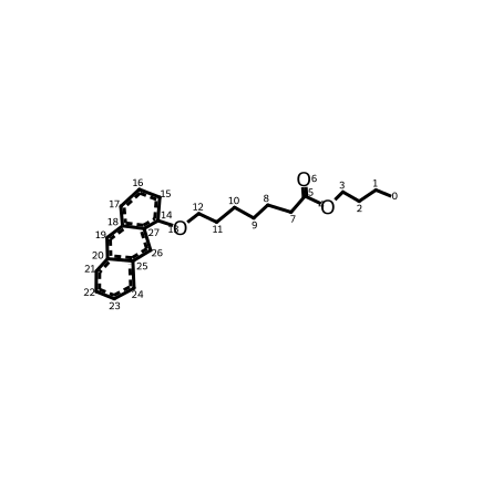 CCCCOC(=O)CCCCCCOc1cccc2cc3ccccc3cc12